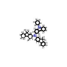 CC1CC(N(c2ccc3c(c2)C(C)(C)c2ccccc2-3)c2ccc3c(c2)c2ccccc2n3-c2ccccc2)C=C2C1C1=C(C=CCC1)C2(C)C